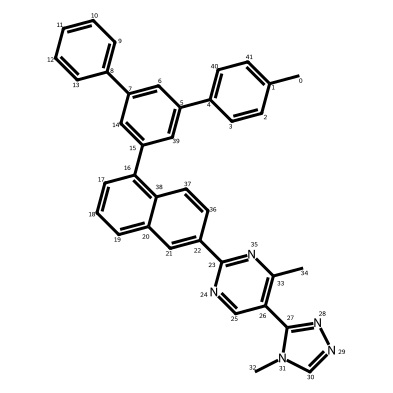 Cc1ccc(-c2cc(-c3ccccc3)cc(-c3cccc4cc(-c5ncc(-c6nncn6C)c(C)n5)ccc34)c2)cc1